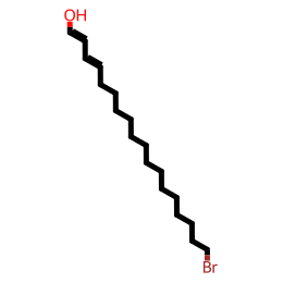 OC=CC=CCCCCCCCCCCCCCCBr